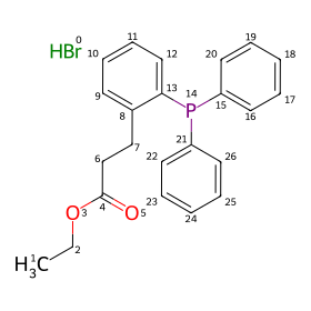 Br.CCOC(=O)CCc1ccccc1P(c1ccccc1)c1ccccc1